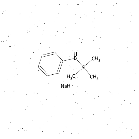 C[Si](C)(C)Bc1ccccc1.[NaH]